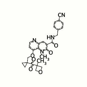 Cn1c(=O)c(C(=O)NCc2ccc(C#N)cc2)cc2nccc(OCC3(S(=O)(=O)C4(C)COC4)CC3)c21